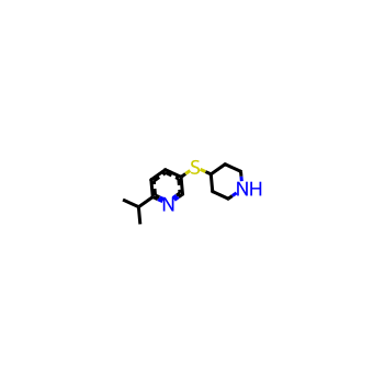 CC(C)c1ccc(SC2CCNCC2)cn1